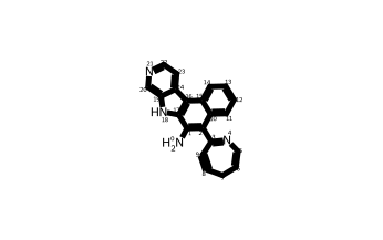 Nc1c(C2=NC=CCC#C2)c2ccccc2c2c1[nH]c1cnccc12